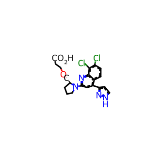 O=C(O)CCOC[C@@H]1CCCN1c1cc(-c2cc[nH]n2)c2ccc(Cl)c(Cl)c2n1